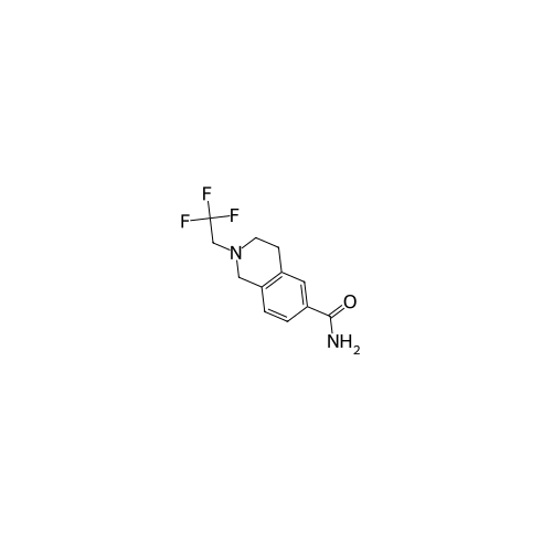 NC(=O)c1ccc2c(c1)CCN(CC(F)(F)F)C2